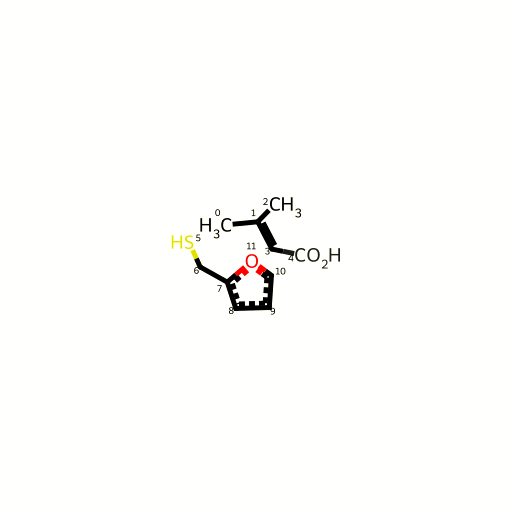 CC(C)=CC(=O)O.SCc1ccco1